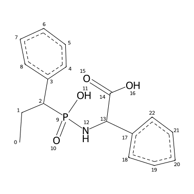 CCC(c1ccccc1)P(=O)(O)NC(C(=O)O)c1ccccc1